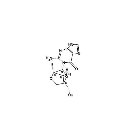 Nc1nc2[nH]cnc2c(=O)n1[C@@H]1O[C@@]2(CO)CO[C@@H]1[C@H]2O